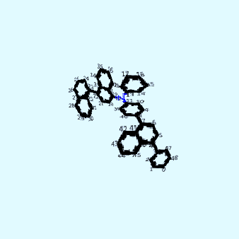 c1ccc(-c2ccc(-c3ccc(N(c4ccccc4)c4ccc(-c5cccc6ccccc56)c5ccccc45)cc3)c3ccccc23)cc1